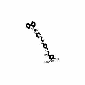 O=CNc1cc([C@@H](O)CNCc2ccc(NC(=O)CCN3CCC(OC(=O)Nc4ccccc4-c4ccccc4)CC3)cc2)ccc1O